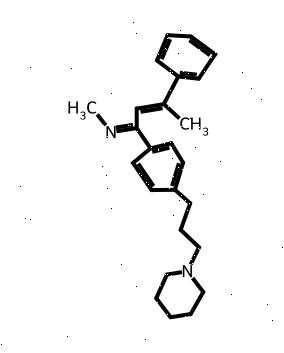 C/N=C(\C=C(/C)c1ccccc1)c1ccc(CCCN2CCCCC2)cc1